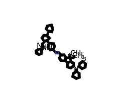 CCC1(CC)c2cc(/C=C/c3ccc(-c4cc(-c5ccccc5)ccc4-c4nc5ccccc5[nH]4)cc3)ccc2-c2ccc(N(c3ccccc3)c3ccccc3)cc21